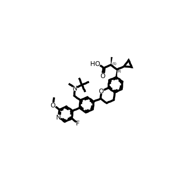 COc1cc(-c2ccc(C3CCc4ccc([C@H](C5CC5)[C@H](C)C(=O)O)cc4O3)cc2CN(C)C(C)(C)C)c(F)cn1